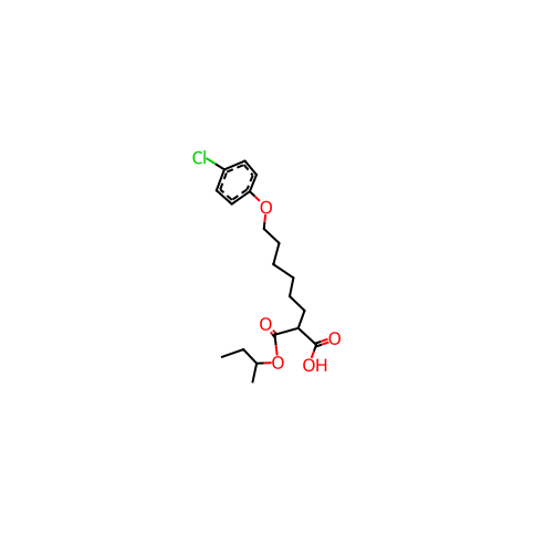 CCC(C)OC(=O)C(CCCCCCOc1ccc(Cl)cc1)C(=O)O